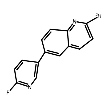 [2H]c1ccc2cc(-c3ccc(F)nc3)ccc2n1